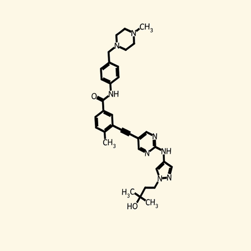 Cc1ccc(C(=O)Nc2ccc(CN3CCN(C)CC3)cc2)cc1C#Cc1cnc(Nc2cnn(CCC(C)(C)O)c2)nc1